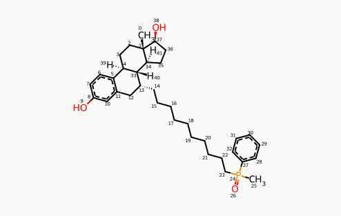 C[C@]12CC[C@@H]3c4ccc(O)cc4C[C@@H](CCCCCCCCCCP(C)(=O)c4ccccc4)[C@H]3[C@@H]1CC[C@@H]2O